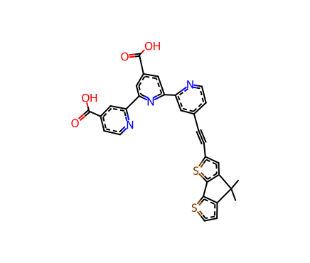 CC1(C)c2ccsc2-c2sc(C#Cc3ccnc(-c4cc(C(=O)O)cc(-c5cc(C(=O)O)ccn5)n4)c3)cc21